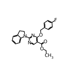 CCOC(=O)c1cnc(N2CCc3ccccc32)nc1OCc1ccc(F)cc1